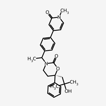 CC(c1ccc(-c2ccn(C)c(=O)c2)cc1)N1CC[C@](CC(C)(C)O)(c2ccccc2)OC1=O